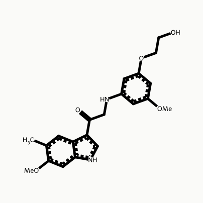 COc1cc(NCC(=O)c2c[nH]c3cc(OC)c(C)cc23)cc(OCCO)c1